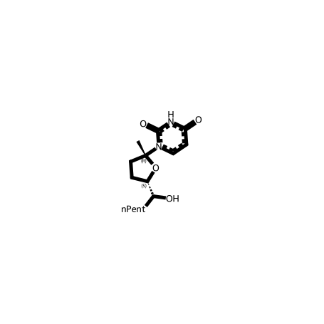 CCCCCC(O)[C@@H]1CC[C@](C)(n2ccc(=O)[nH]c2=O)O1